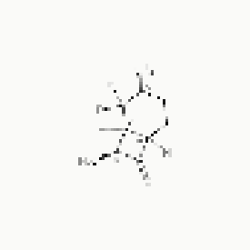 C[C@@H]1C(=O)[C@@H]2CC[C@H](C)C(F)(F)[C@H]12